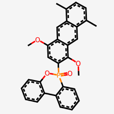 COc1cc(P2(=O)Oc3ccccc3-c3ccccc32)c(OC)c2cc3c(C)ccc(C)c3cc12